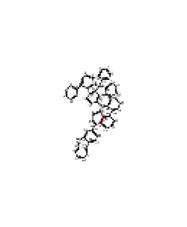 c1ccc(-c2ccc3c(c2)C2(c4ccccc4-3)c3ccccc3-c3c(N(c4ccc(-c5ccc6c(c5)oc5ccccc56)cc4)c4ccccc4-c4ccccc4)cccc32)cc1